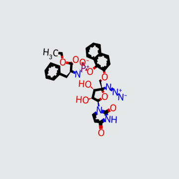 CCOC(=O)[C@H](Cc1ccccc1)/N=[P+](\[O-])Oc1c(OC[C@@]2(N=[N+]=[N-])O[C@@H](n3ccc(=O)[nH]c3=O)[C@H](O)[C@@H]2O)ccc2ccccc12